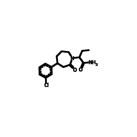 CCC(C(N)=O)N1CCCC(c2cccc(Cl)c2)CC1=O